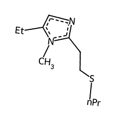 CCCSCCc1ncc(CC)n1C